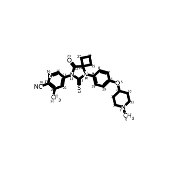 CN1CCC(Oc2ccc(N3C(=S)N(c4cnc(C#N)c(C(F)(F)F)c4)C(=O)C34CCC4)cc2)CC1